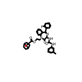 Cc1cccc(NC(=O)NC2N=C(c3ccccc3F)c3ccccc3N(CCOC(=O)N3CC4CCC(CC4)C3)C2=O)c1